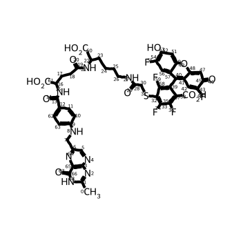 Cc1nc2ncc(CNc3ccc(C(=O)NC(CCC(=O)NC(CCCCNC(=O)CSc4c(F)c(F)c(C(=O)O)c(-c5c6cc(F)c(=O)cc-6oc6cc(O)c(F)cc56)c4F)C(=O)O)C(=O)O)cc3)nc2c(=O)[nH]1